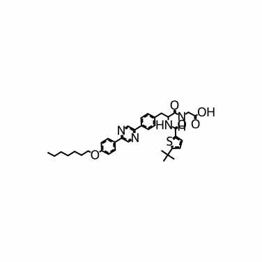 CCCCCCCOc1ccc(-c2cnc(-c3ccc(CC(NC(=O)c4ccc(C(C)(C)C)s4)C(=O)NCC(=O)O)cc3)cn2)cc1